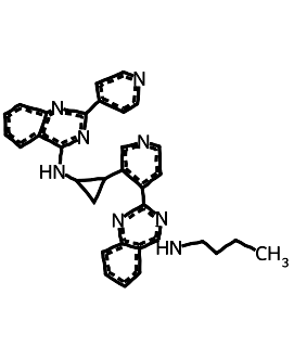 CCCCNc1nc(-c2ccncc2C2CC2Nc2nc(-c3ccncc3)nc3ccccc23)nc2ccccc12